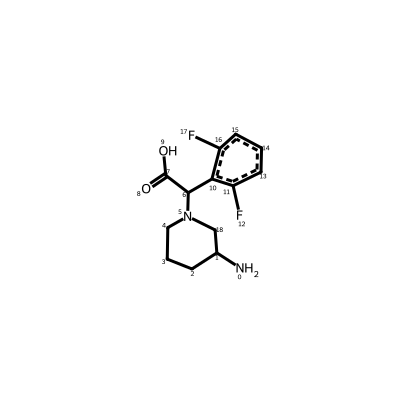 NC1CCCN(C(C(=O)O)c2c(F)cccc2F)C1